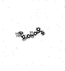 CC(C)NC(=O)Nc1ccc(Oc2ccc(NC(=O)c3ccc(-n4cc(CN5CCCC5)c5ccccc54)cc3)cc2)c(Cl)c1